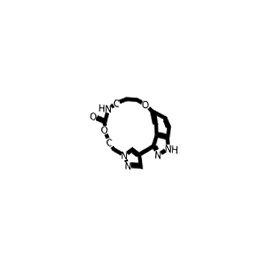 O=C1NCCCOc2ccc3[nH]nc(c3c2)-c2cnn(c2)CCO1